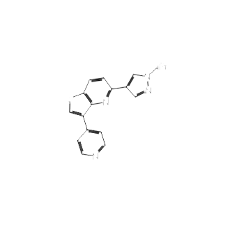 CC(C)n1cc(-c2ccc3scc(-c4ccncc4)c3n2)cn1